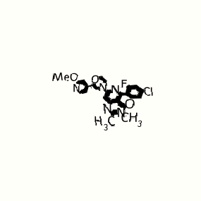 COc1cc([C@@H]2CN(c3cc4nc(C)n(C)c(=O)c4c(-c4ccc(Cl)cc4F)n3)CCO2)ccn1